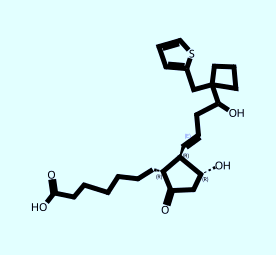 O=C(O)CCCCCC[C@H]1C(=O)C[C@@H](O)[C@@H]1/C=C/CC(O)C1(Cc2cccs2)CCC1